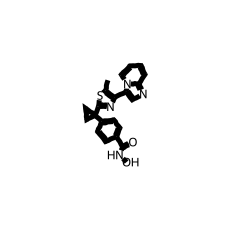 Cc1sc(C2(c3ccc(C(=O)NO)cc3)CC2)nc1-c1cnc2ccccn12